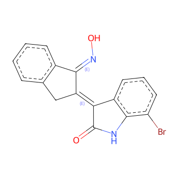 O=C1Nc2c(Br)cccc2/C1=C1/Cc2ccccc2/C1=N\O